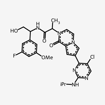 COc1cc(F)cc(C(CO)NC(=O)C(C)n2ccn3cc(-c4nc(NC(C)C)ncc4Cl)cc3c2=O)c1